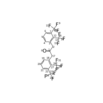 O=C(Cc1cccc(C(F)(F)F)c1C(F)(F)F)Cc1cccc(C(F)(F)F)c1C(F)(F)F